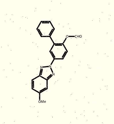 COc1ccc2nn(-c3ccc(OC=O)c(-c4ccccc4)c3)nc2c1